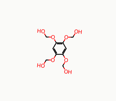 OCOc1cc(OCO)c(OCO)cc1OCO